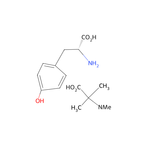 CNC(C)(C)C(=O)O.N[C@H](Cc1ccc(O)cc1)C(=O)O